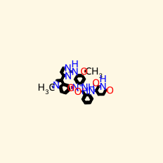 COc1cc(NCc2ccccc2NC2CCC(=O)NC2=O)c([N+](=O)[O-])cc1Nc1nccc(-c2cn(C)c3ccccc23)n1